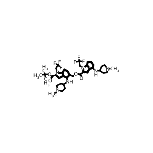 CN1CCC(Nc2cccc3c2cc(C(=O)OCc2ccc4c(cc(C(=O)OC(C)(C)C)n4CC(F)(F)F)c2NC2CCN(C)CC2)n3CC(F)(F)F)CC1